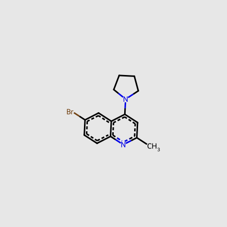 Cc1cc(N2CCCC2)c2cc(Br)ccc2n1